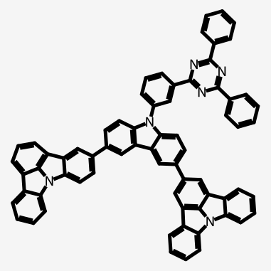 c1ccc(-c2nc(-c3ccccc3)nc(-c3cccc(-n4c5ccc(-c6ccc7c(c6)c6cccc8c9ccccc9n7c86)cc5c5cc(-c6cc7c8ccccc8n8c9ccccc9c(c6)c78)ccc54)c3)n2)cc1